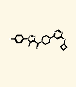 Cc1c(C(=O)N2CCN(c3cc(OC4CCC4)ncn3)CC2)nnn1-c1ccc(F)cc1